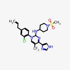 C=CCc1ccc(N2C=C(C(F)(F)F)C(c3c[nH]cn3)=NC2NC2CCN(S(C)(=O)=O)CC2)c(Cl)c1